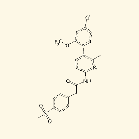 Cc1nc(NC(=O)Cc2ccc(S(C)(=O)=O)cc2)ccc1-c1ccc(Cl)cc1OC(F)(F)F